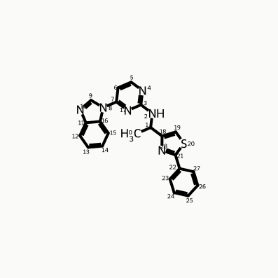 CC(Nc1nccc(-n2cnc3ccccc32)n1)c1csc(-c2ccccc2)n1